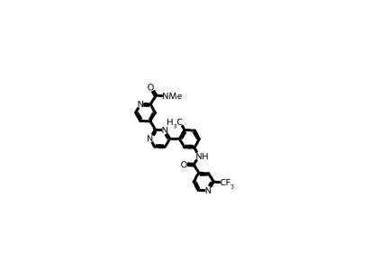 CNC(=O)c1cc(-c2nccc(-c3cc(NC(=O)c4ccnc(C(F)(F)F)c4)ccc3C)n2)ccn1